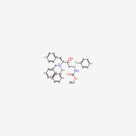 CC(C)(C)OC(=O)N[C@@H](Cc1ccccc1)C[C@H](O)[C@H](Cc1ccccc1)N(Cc1ccccc1)Cc1ccccc1